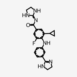 O=C(N=C1NCCN1)c1cc(F)c(Nc2cccc(C3=NCCN3)c2)c(C2CC2)c1